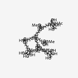 COSP(=O)(O)OCCCOCC(COCCCOP(=O)(S)OCCCCOC1OC(CO)C(O)C(O)C1NC(C)=O)(COCCCOP(=O)(OCCCCOC1OC(CO)C(O)C(O)C1NC(C)=O)SOC)COCCCOP(=O)(OCCCCOC(OC(CO)[C@@H](C)O)[C@H](CO)NC(C)=O)SOC